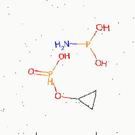 NP(O)O.O=[PH](O)OC1CC1